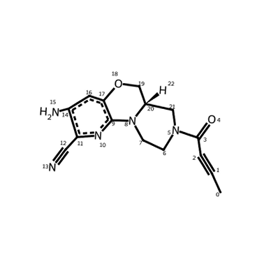 CC#CC(=O)N1CCN2c3nc(C#N)c(N)cc3OC[C@@H]2C1